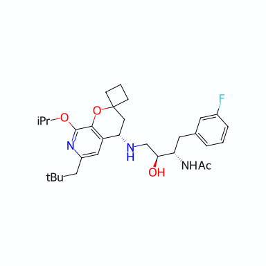 CC(=O)N[C@@H](Cc1cccc(F)c1)[C@@H](O)CN[C@H]1CC2(CCC2)Oc2c1cc(CC(C)(C)C)nc2OC(C)C